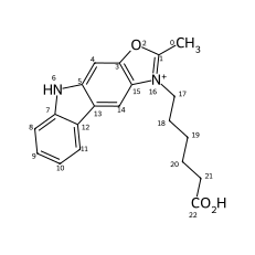 Cc1oc2cc3[nH]c4ccccc4c3cc2[n+]1CCCCCC(=O)O